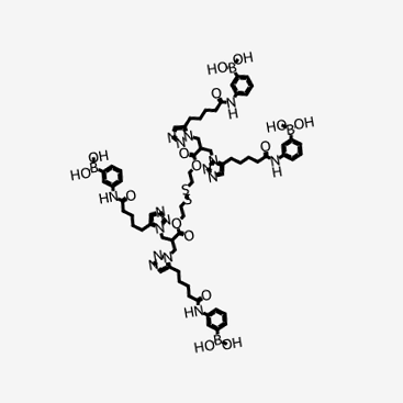 O=C(CCCCc1cnnn1CC(Cn1nncc1CCCCC(=O)Nc1cccc(B(O)O)c1)C(=O)OCCSSCCOC(=O)C(Cn1nncc1CCCCC(=O)Nc1cccc(B(O)O)c1)Cn1nncc1CCCCC(=O)Nc1cccc(B(O)O)c1)Nc1cccc(B(O)O)c1